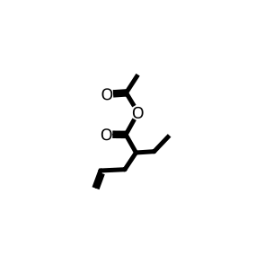 C=CCC(CC)C(=O)OC(C)=O